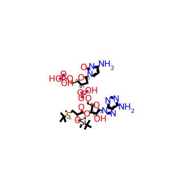 CC(C)(C)[Si](C)(C)OC(CS(C)(C)C(C)(C)C)C(=O)O[C@H]1[C@@H](O)[C@H](n2cnc3c(N)ncnc32)O[C@@H]1COP(=O)(O)O[C@H]1C[C@H](n2ccc(N)nc2=O)O[C@@H]1COP(=O)(O)O